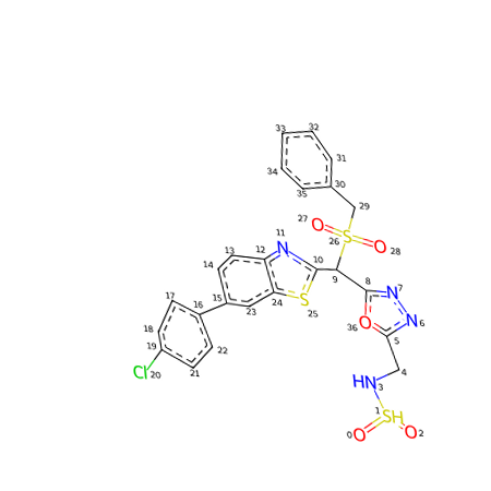 O=[SH](=O)NCc1nnc(C(c2nc3ccc(-c4ccc(Cl)cc4)cc3s2)S(=O)(=O)Cc2ccccc2)o1